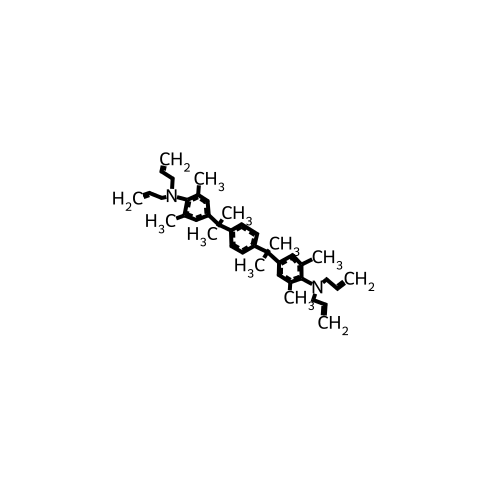 C=CCN(CC=C)c1c(C)cc(C(C)(C)c2ccc(C(C)(C)c3cc(C)c(N(CC=C)CC=C)c(C)c3)cc2)cc1C